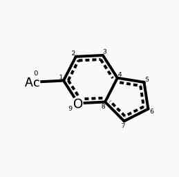 CC(=O)c1ccc2cccc-2o1